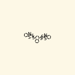 c1ccc2sc(SSc3ccc(SSc4nc5ccccc5s4)c4ccccc34)nc2c1